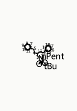 [CH2]C[CH]CCN(CC(CCc1ccccc1)CCc1ccccc1)C(=O)OC(C)(C)C